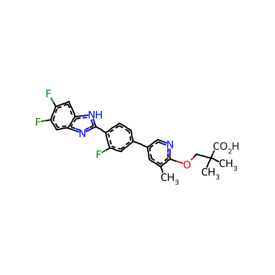 Cc1cc(-c2ccc(-c3nc4cc(F)c(F)cc4[nH]3)c(F)c2)cnc1OCC(C)(C)C(=O)O